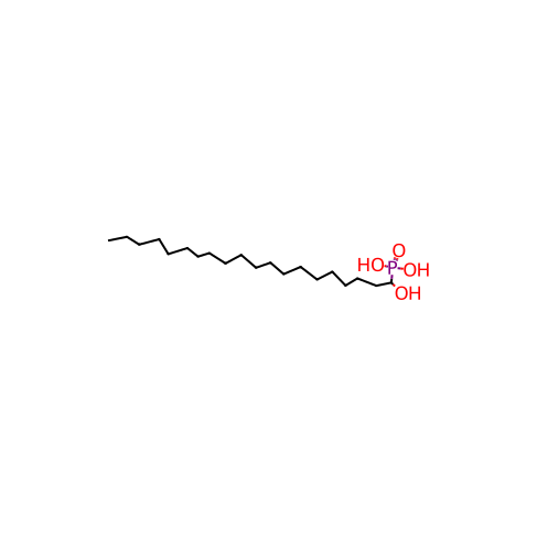 CCCCCCCCCCCCCCCCCCCC(O)P(=O)(O)O